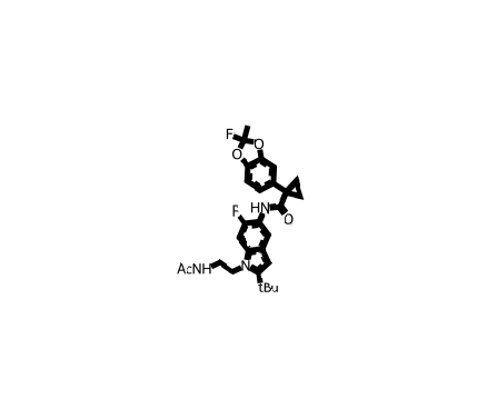 CC(=O)NCCn1c(C(C)(C)C)cc2cc(NC(=O)C3(c4ccc5c(c4)OC(C)(F)O5)CC3)c(F)cc21